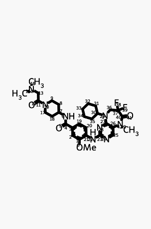 COc1cc(C(=O)NC2CCN(C(=O)CN(C)C)CC2)ccc1Nc1ncc2c(n1)N(C1CCCCC1)CC(F)(F)C(=O)N2C